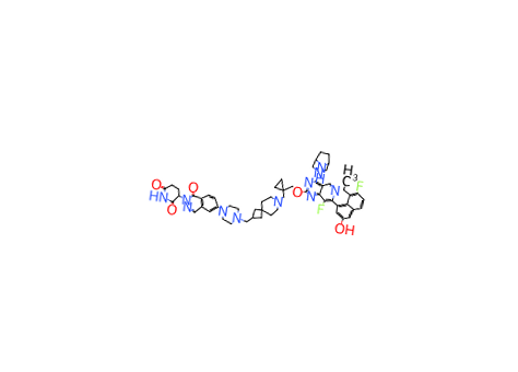 CCc1c(F)ccc2cc(O)cc(-c3ncc4c(N5CC6CCC(C5)N6)nc(OCC5(CN6CCC7(CC6)CC(CN6CCN(c8ccc9c(=O)n(C%10CCC(=O)NC%10=O)ncc9c8)CC6)C7)CC5)nc4c3F)c12